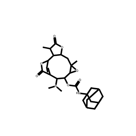 CC1C(=O)OC2CC3(C)OC3C(OC(=O)NC34CC5CC(CC(C5)C3)C4)C(N(C)C)C3=CC(OC3=O)C21